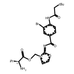 CC(C)[C@H](N)C(=O)OCn1ccsc1=NC(=O)c1ccc(NC(=O)CC(C)(C)C)c(Br)c1